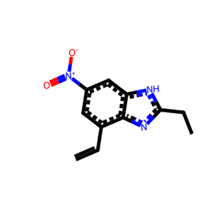 C=Cc1cc([N+](=O)[O-])cc2[nH]c(CC)nc12